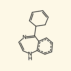 C1=CCC(C2=NC=CNc3ccccc32)C=C1